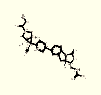 CC(=O)NC[C@@H]1OC(=O)N2c3ccc(-c4ccc([C@@]5(C#N)[C@@H]6CN(C(=O)CO)C[C@@H]65)nc4)cc3C[C@@H]12